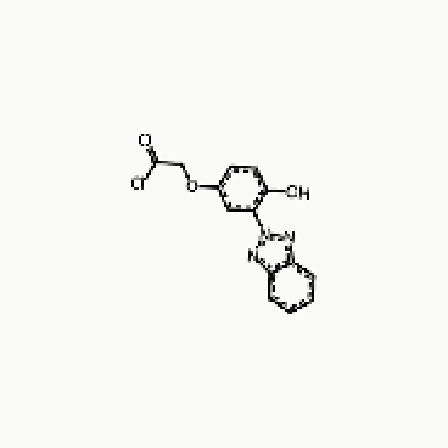 O=C(Cl)COc1ccc(O)c(-n2nc3ccccc3n2)c1